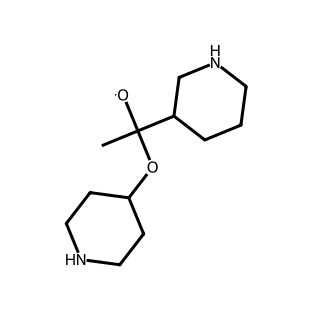 CC([O])(OC1CCNCC1)C1CCCNC1